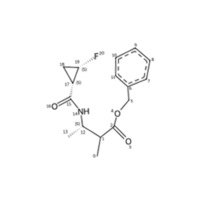 CC(C(=O)OCc1ccccc1)[C@H](C)NC(=O)[C@@H]1C[C@@H]1F